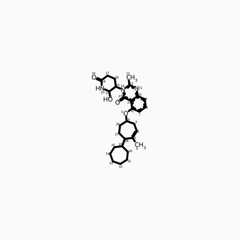 CC1=CCC(Oc2cccc3nc(C)n(C4CCC(=O)NC4O)c(=O)c23)CCC1C1CCCCCC1